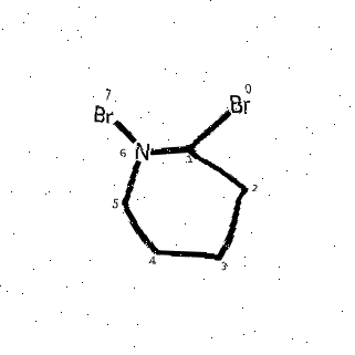 BrC1CCCCN1Br